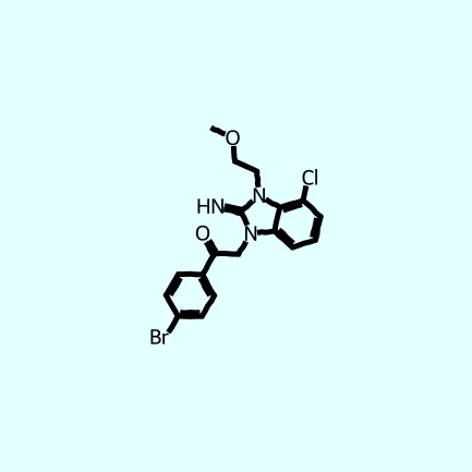 COCCn1c(=N)n(CC(=O)c2ccc(Br)cc2)c2cccc(Cl)c21